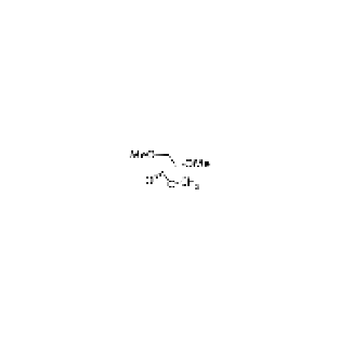 COC=O.COCCOC